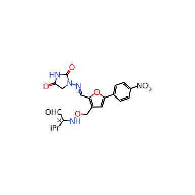 CC(C)[C@@H](C=O)NOCc1cc(-c2ccc([N+](=O)[O-])cc2)oc1/C=N/N1CC(=O)NC1=O